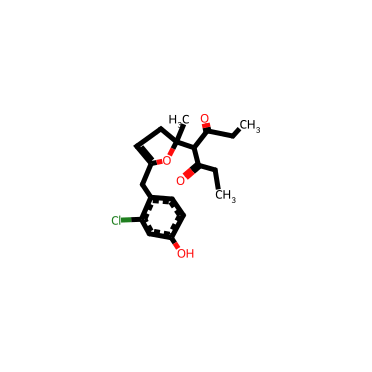 CCC(=O)C(C(=O)CC)C1(C)CC=C(Cc2ccc(O)cc2Cl)O1